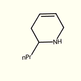 [CH2]CCC1CC=CCN1